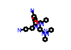 N#Cc1ccc(-c2ccc3c(c2)c2cc(-c4ccc(C#N)cc4)ccc2n3-c2ccc(-c3nc(-c4ccccc4)nc(-c4ccccc4)n3)cc2-c2nc(-c3ccccc3)cc(-c3ccccc3)n2)cc1